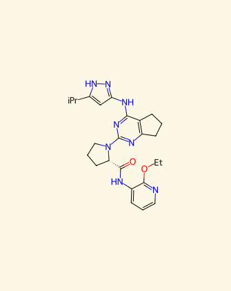 CCOc1ncccc1NC(=O)[C@@H]1CCCN1c1nc2c(c(Nc3cc(C(C)C)[nH]n3)n1)CCC2